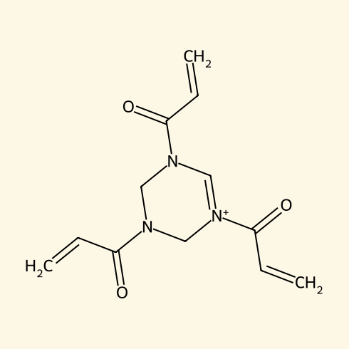 C=CC(=O)N1C=[N+](C(=O)C=C)CN(C(=O)C=C)C1